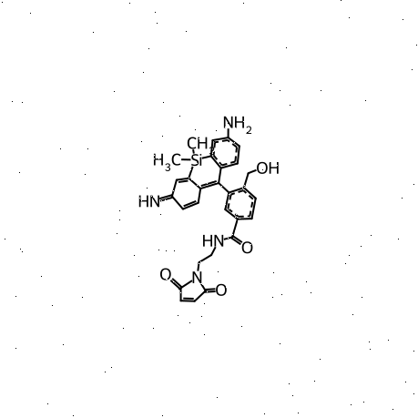 C[Si]1(C)C2=CC(=N)C=CC2=C(c2cc(C(=O)NCCN3C(=O)C=CC3=O)ccc2CO)c2ccc(N)cc21